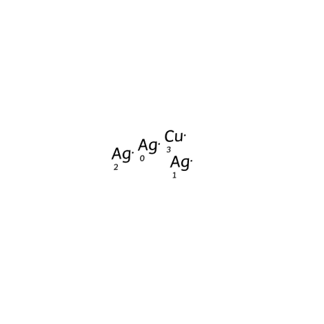 [Ag].[Ag].[Ag].[Cu]